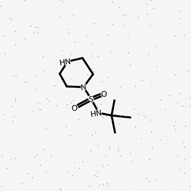 CC(C)(C)NS(=O)(=O)N1CCNCC1